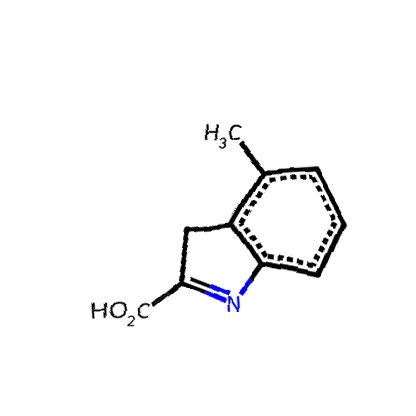 Cc1cccc2c1CC(C(=O)O)=N2